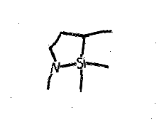 CC1CCN(C)[Si]1(C)C